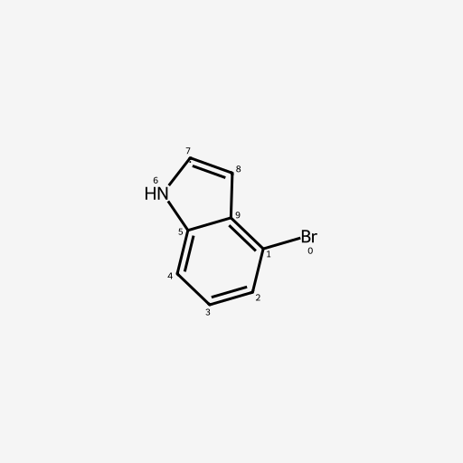 Brc1cccc2[nH][c]cc12